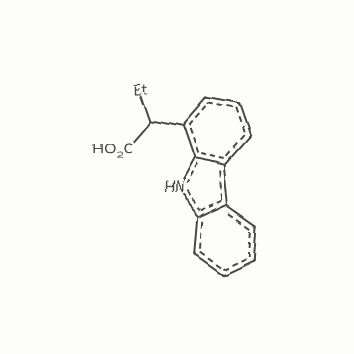 CCC(C(=O)O)c1cccc2c1[nH]c1ccccc12